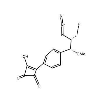 CO[C@H](c1ccc(-c2c(O)c(=O)c2=O)cc1)[C@@H](CF)N=[N+]=[N-]